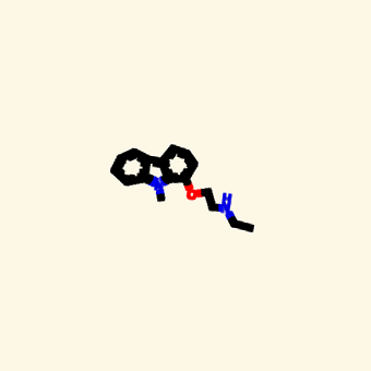 CCNCCOc1cccc2c3ccccc3n(C)c12